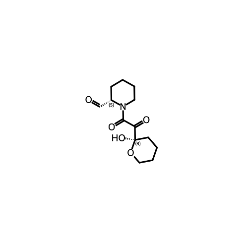 O=C[C@@H]1CCCCN1C(=O)C(=O)[C@@]1(O)CCCCO1